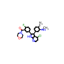 CNc1cc(-c2c(-c3ccc(F)c(C(=O)N4CCOCC4)c3)[nH]c3nccc(Cl)c23)ccc1C